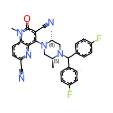 C[C@@H]1CN(C(c2ccc(F)cc2)c2ccc(F)cc2)[C@@H](C)CN1c1c(C#N)c(=O)n(C)c2ccc(C#N)nc12